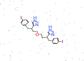 Ic1ccc(CC(CCOCCC(Cc2ccc(I)cc2)c2c[nH]cn2)c2c[nH]cn2)cc1